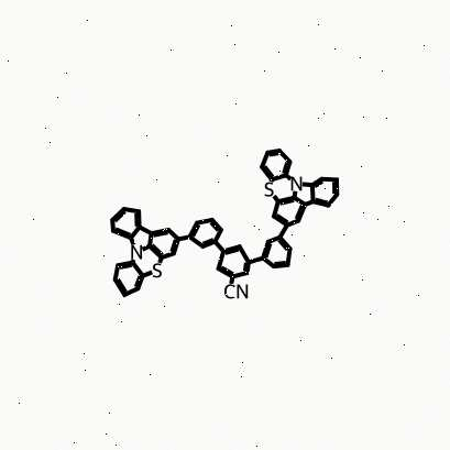 N#Cc1cc(-c2cccc(-c3cc4c5c(c3)c3ccccc3n5-c3ccccc3S4)c2)cc(-c2cccc(-c3cc4c5c(c3)c3ccccc3n5-c3ccccc3S4)c2)c1